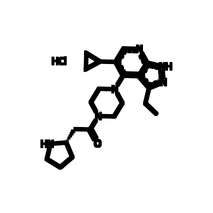 CCc1n[nH]c2ncc(C3CC3)c(N3CCN(C(=O)C[C@@H]4CCCN4)CC3)c12.Cl